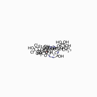 CCc1c(Cl)c(O)c(Cl)c(O)c1C(=O)O[C@H]1[C@H](O)[C@H](OC)[C@H](OC/C2=C\C=C\C[C@H](O)/C(C)=C/[C@H](CC)[C@@H](O[C@@H]3OC(C)(C)[C@@H](O)[C@H](O)[C@@H]3O)/C(C)=C/C(C)=C/C[C@@H](C(C)O)OC2=O)O[C@@H]1C